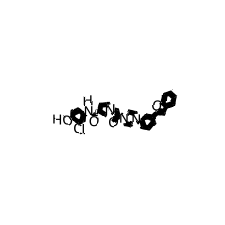 O=C(Nc1ccc(O)c(Cl)c1)[C@@H]1CCN(CC(=O)N2CCN(c3cccc(-c4cc5ccccc5o4)c3)CC2)C1